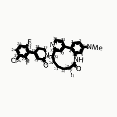 CNc1ccc2c(c1)NC(=O)[C@H](C)CCC[C@H](N1CCC(c3c(F)ccc(Cl)c3F)=CC1=O)c1cc-2ccn1